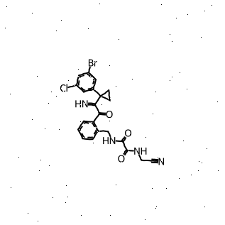 N#CCNC(=O)C(=O)NCc1ccccc1C(=O)C(=N)C1(c2cc(Cl)cc(Br)c2)CC1